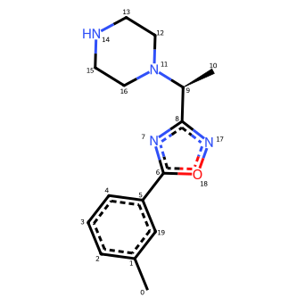 Cc1cccc(-c2nc([C@H](C)N3CCNCC3)no2)c1